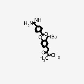 CN(C)C(=O)Cc1ccc(OC(=O)c2ccc(C(=N)N)cc2)c(CC(C)(C)C)c1